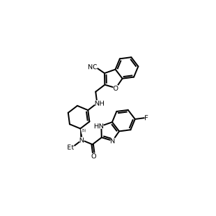 CCN(C(=O)c1nc2cc(F)ccc2[nH]1)[C@@H]1C=C(NCc2oc3ccccc3c2C#N)CCC1